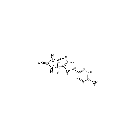 CC1(c2ccc(-c3ccc(C#N)cc3)o2)NC(=S)NC1=O